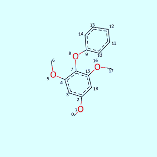 COc1cc(OC)c(Oc2[c]cccc2)c(OC)c1